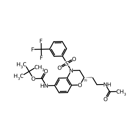 CC(=O)NCC[C@H]1CN(S(=O)(=O)c2cccc(C(F)(F)F)c2)c2cc(NC(=O)OC(C)(C)C)ccc2O1